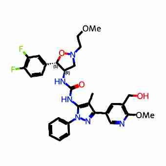 COCCN1C[C@@H](NC(=O)Nc2c(C)c(-c3cnc(OC)c(CO)c3)nn2-c2ccccc2)[C@H](c2ccc(F)c(F)c2)O1